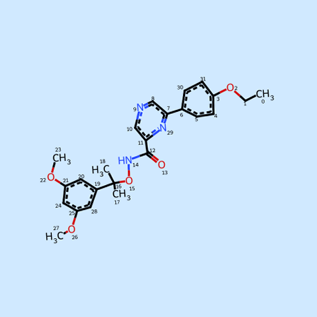 CCOc1ccc(-c2cncc(C(=O)NOC(C)(C)c3cc(OC)cc(OC)c3)n2)cc1